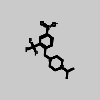 CC(C)N1CCN(Cc2ccc([N+](=O)[O-])cc2C(F)(F)F)CC1